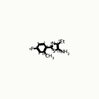 CCc1nc(-c2ccc(F)cc2C)sc1N